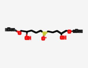 CCCCCCCCCCOCC(O)CCC[S+]([O-])CCCC(O)COCCCCCCCCCC